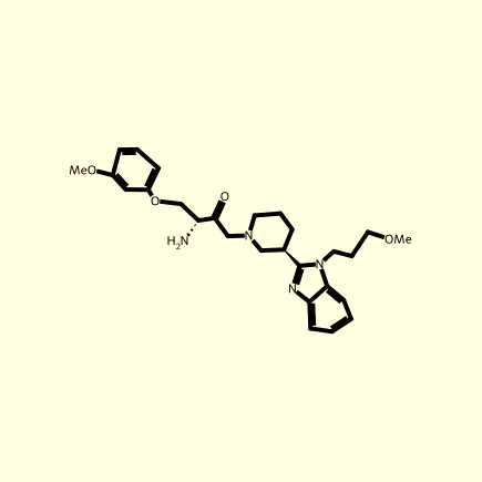 COCCCn1c([C@@H]2CCCN(CC(=O)[C@H](N)COc3cccc(OC)c3)C2)nc2ccccc21